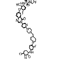 N#Cc1c(NS(=O)(=O)N2CC[C@@H](F)C2)ccc(F)c1Oc1ccc2ncn(-c3ccc(N4CCN(CC5CCN(c6ccc(NC7CCC(=O)NC7=O)cc6F)CC5)CC4)nc3)c(=O)c2c1